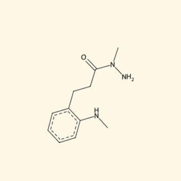 CNc1ccccc1CCC(=O)N(C)N